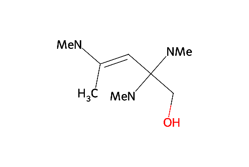 CNC(C)=CC(CO)(NC)NC